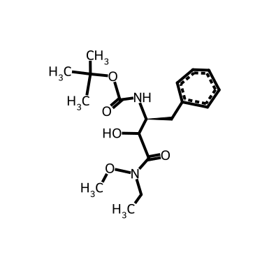 CCN(OC)C(=O)C(O)[C@H](Cc1ccccc1)NC(=O)OC(C)(C)C